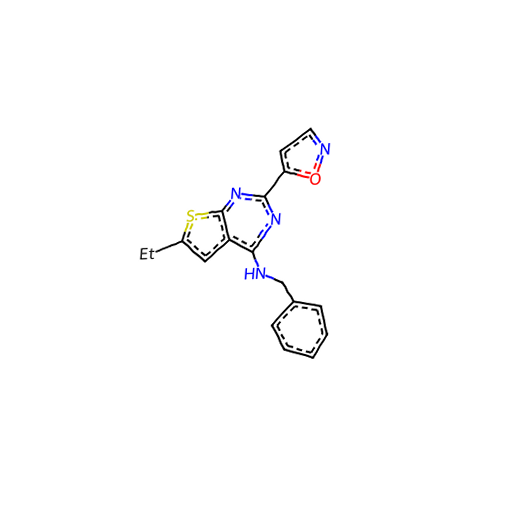 CCc1cc2c(NCc3ccccc3)nc(-c3ccno3)nc2s1